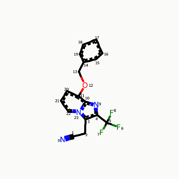 N#CCc1c(C(F)(F)F)nc2c(OCc3ccccc3)cccn12